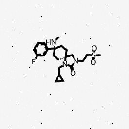 CN[C@]1(c2cccc(F)c2)CC[C@]2(CC1)CN(CCS(C)(=O)=O)C(=O)N2CC1CC1